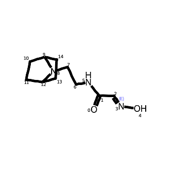 O=C(/C=N/O)NCCN1C2CCC1CC2